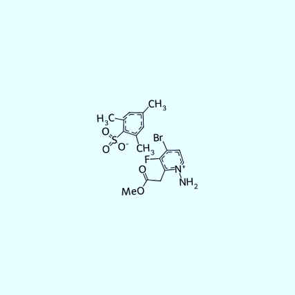 COC(=O)Cc1c(F)c(Br)cc[n+]1N.Cc1cc(C)c(S(=O)(=O)[O-])c(C)c1